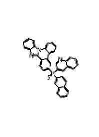 S=P(c1ccc2ccccc2c1)(c1cnc2ccccc2c1)c1ccc2c(c1)c1ccccc1n1c3ccccc3nc21